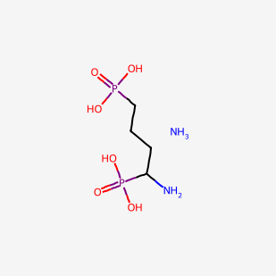 N.NC(CCCP(=O)(O)O)P(=O)(O)O